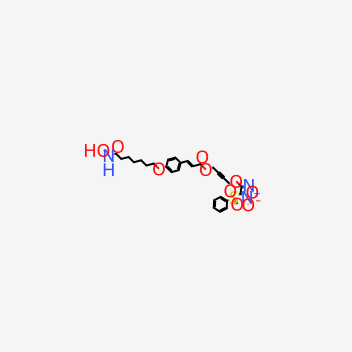 O=C(CCCCCCOc1ccc(C=CC(=O)OCC#CCOc2no[n+]([O-])c2S(=O)(=O)c2ccccc2)cc1)NO